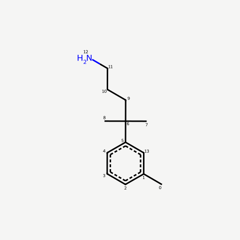 Cc1cccc(C(C)(C)CCCN)c1